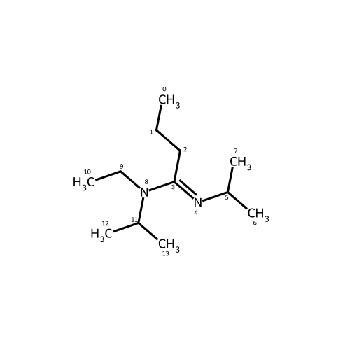 CCC/C(=N\C(C)C)N(CC)C(C)C